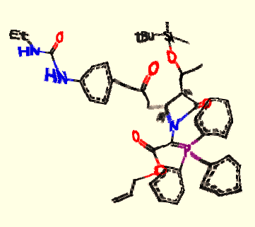 C=CCOC(=O)C(N1C(=O)[C@H](C(C)O[Si](C)(C)C(C)(C)C)[C@H]1CC(=O)c1ccc(NC(=O)NCC)cc1)=P(c1ccccc1)(c1ccccc1)c1ccccc1